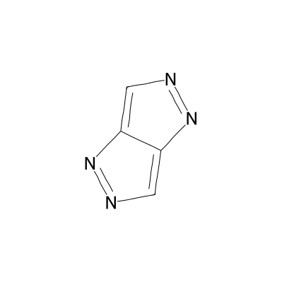 C1=C2N=NC=C2N=N1